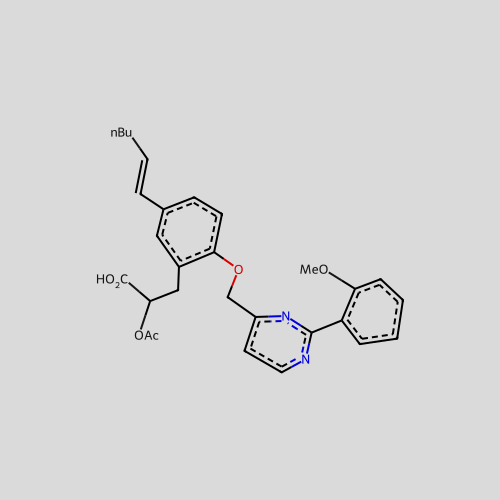 CCCC/C=C/c1ccc(OCc2ccnc(-c3ccccc3OC)n2)c(CC(OC(C)=O)C(=O)O)c1